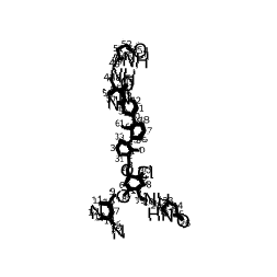 Cc1c(COc2cc(OCc3cncc(C#N)c3)c(CNC[C@@H]3CCC(=O)N3)cc2Cl)cccc1-c1cccc(-c2ccn3c(=O)c(CNC[C@H]4CCC(=O)N4)cnc3c2)c1C